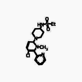 CCS(=O)(=O)NC1CCN(C2C=CC(Cl)=C(c3ccccn3)N2C)CC1